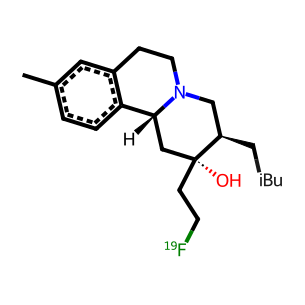 CCC(C)C[C@@H]1CN2CCc3cc(C)ccc3[C@H]2C[C@]1(O)CC[19F]